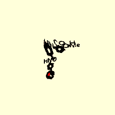 COc1cccc(Nc2cccc(C(=O)Nc3ccc(C45CC6CC(CC(C6)C4)C5)cc3)c2)c1C(=O)O